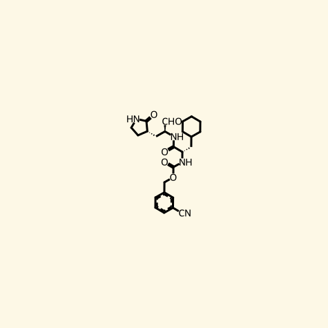 N#Cc1cccc(COC(=O)N[C@@H](CC2CCCCC2)C(=O)N[C@H](C=O)C[C@@H]2CCNC2=O)c1